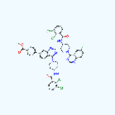 COC(=O)c1ccc(-c2ccc3c(N4CCC(NC(=O)c5cccc(Cl)c5Cl)CC4)ncnc3c2)cc1.O=C(NC1CCN(c2ncnc3ccc(F)cc23)CC1)c1cccc(Cl)c1Cl